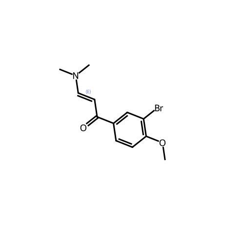 COc1ccc(C(=O)/C=C/N(C)C)cc1Br